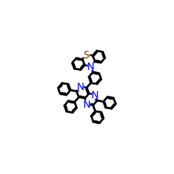 c1ccc(-c2nc3c(-c4cccc(N5c6ccccc6Sc6ccccc65)c4)nc(-c4ccccc4)c(-c4ccccc4)c3nc2-c2ccccc2)cc1